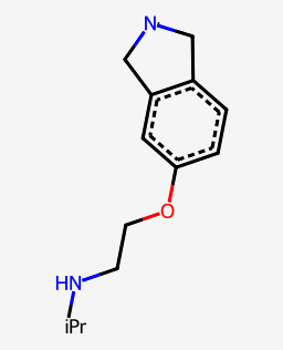 CC(C)NCCOc1ccc2c(c1)C[N]C2